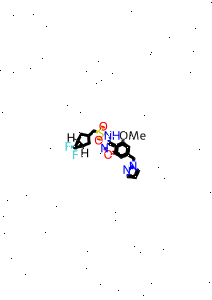 COc1cc(Cn2cccn2)cc2onc(NS(=O)(=O)CC3C[C@@H]4[C@H](C3)C4(F)F)c12